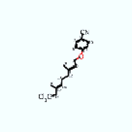 C/C(=C\COc1ccc(C#N)cc1)CC/C=C(\C)CC(Cl)(Cl)Cl